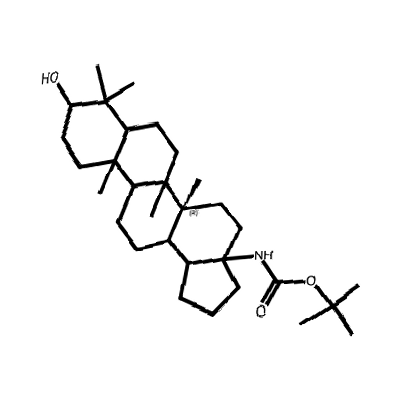 CC(C)(C)OC(=O)NC12CCCC1C1CCC3C4(C)CCC(O)C(C)(C)C4CCC3(C)[C@]1(C)CC2